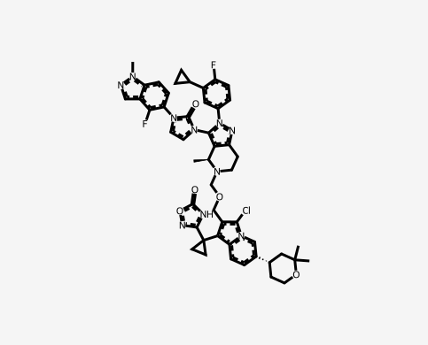 C[C@H]1c2c(nn(-c3ccc(F)c(C4CC4)c3)c2-n2ccn(-c3ccc4c(cnn4C)c3F)c2=O)CCN1COCc1c(C2(c3noc(=O)[nH]3)CC2)c2ccc([C@H]3CCOC(C)(C)C3)cn2c1Cl